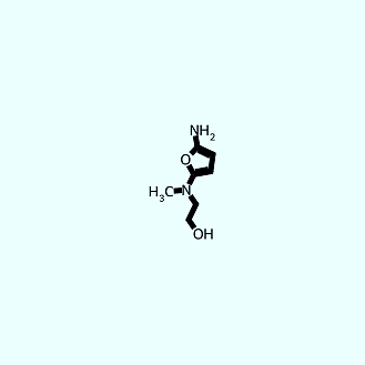 CN(CCO)c1ccc(N)o1